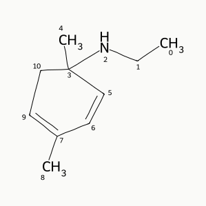 CCNC1(C)C=CC(C)=CC1